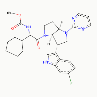 CC(C)(C)OC(=O)N[C@H](C(=O)N1CC[C@@H]2[C@H]1[C@@H](c1c[nH]c3cc(F)ccc13)CN2c1ncccn1)C1CCCCC1